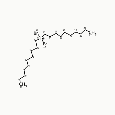 CCCCCCCCCC[Te](Br)(Br)CCCCCCCCCC